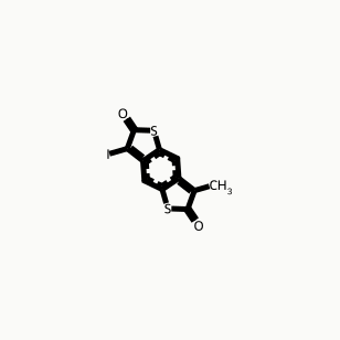 CC1=c2cc3c(cc2SC1=O)=C(I)C(=O)S3